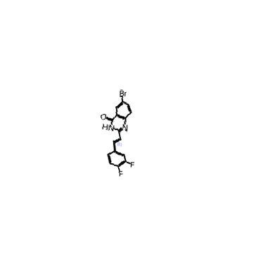 O=c1[nH]c(/C=C/c2ccc(F)c(F)c2)nc2ccc(Br)cc12